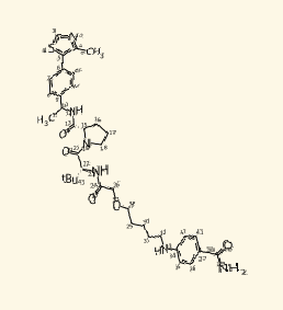 Cc1ncsc1-c1ccc([C@H](C)NC(=O)[C@@H]2CCCN2C(=O)[C@H](NC(=O)COCCCCCNc2ccc(C(N)=O)cc2)C(C)(C)C)cc1